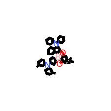 Cc1cccc(N(c2cccc(C)c2)c2ccc3c(c2)Oc2cc([Si](C)(C)C)cc4c2B3c2c(cc(N(c3ccccc3)c3ccccc3)c3ccccc23)O4)c1